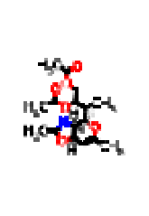 CC(=O)OCC(OC(C)=O)[C@@H](C)[C@@H]1OC(C)=C[C@H]2OC(C)=N[C@@H]12